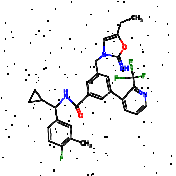 CCc1cn(Cc2cc(C(=O)NC(c3ccc(F)c(C)c3)C3CC3)cc(-c3cccnc3C(F)(F)F)c2)c(=N)o1